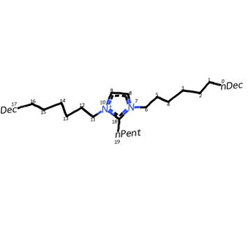 CCCCCCCCCCCCCCCCn1cc[n+](CCCCCCCCCCCCCCCC)c1CCCCC